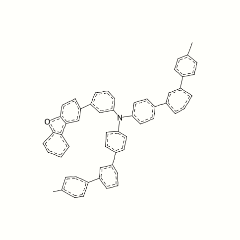 Cc1ccc(-c2cccc(-c3ccc(N(c4ccc(-c5cccc(-c6ccc(C)cc6)c5)cc4)c4cccc(-c5ccc6oc7ccccc7c6c5)c4)cc3)c2)cc1